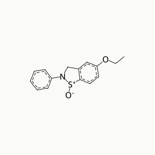 CCOc1ccc2c(c1)CN(c1ccccc1)[S+]2[O-]